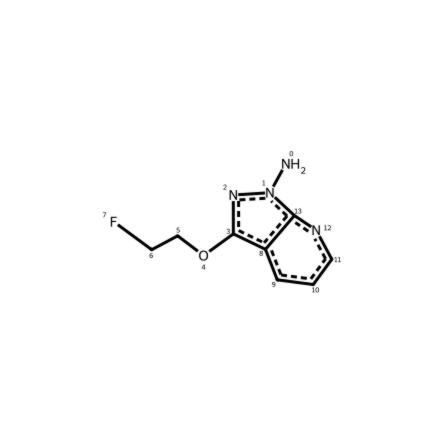 Nn1nc(OCCF)c2cccnc21